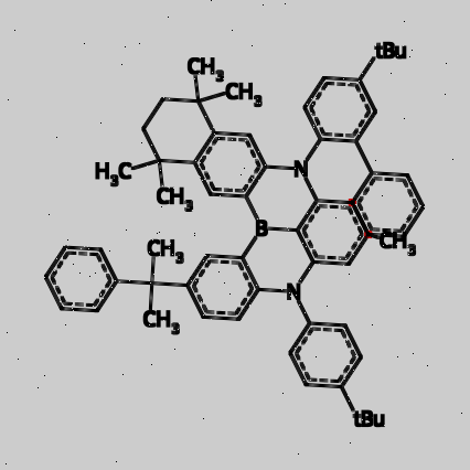 Cc1cc2c3c(c1)N(c1ccc(C(C)(C)C)cc1-c1ccccc1)c1cc4c(cc1B3c1cc(C(C)(C)c3ccccc3)ccc1N2c1ccc(C(C)(C)C)cc1)C(C)(C)CCC4(C)C